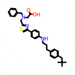 CC(C)(C)Cc1ccc(CCCNc2ccc(-c3csc(CN(CC(=O)O)Cc4ccccc4)n3)cc2)cc1